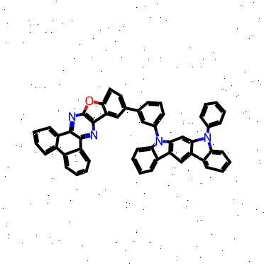 c1ccc(-n2c3ccccc3c3cc4c5ccccc5n(-c5cccc(-c6ccc7oc8nc9c%10ccccc%10c%10ccccc%10c9nc8c7c6)c5)c4cc32)cc1